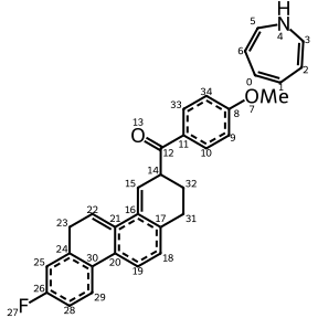 C1=CC=CNC=C1.COc1ccc(C(=O)C2C=c3c(ccc4c3=CCc3cc(F)ccc3-4)CC2)cc1